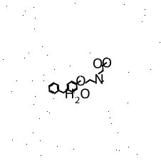 COC(=O)CCN(C)CCCOc1ccc(Cc2ccccc2)cc1.O